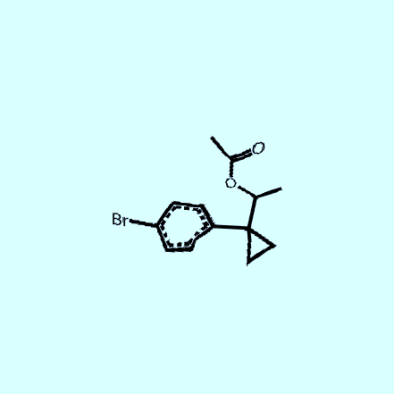 CC(=O)OC(C)C1(c2ccc(Br)cc2)CC1